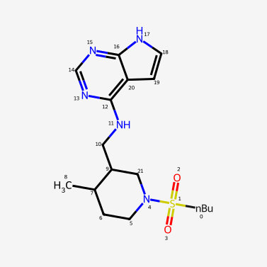 CCCCS(=O)(=O)N1CCC(C)C(CNc2ncnc3[nH]ccc23)C1